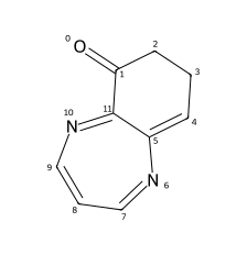 O=C1CCC=C2N=CC=CN=C12